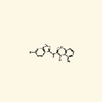 CC(C)c1cccc(C(C)C)c1N(S)C(=O)Nc1noc2cc(F)ccc12